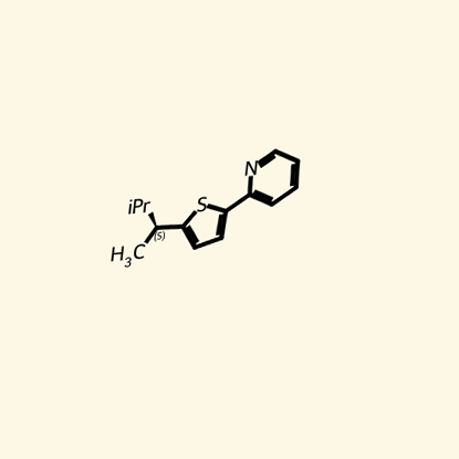 CC(C)[C@H](C)c1ccc(-c2ccccn2)s1